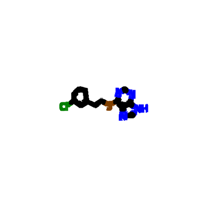 Clc1cccc(CCSc2ncnc3[nH]cnc23)c1